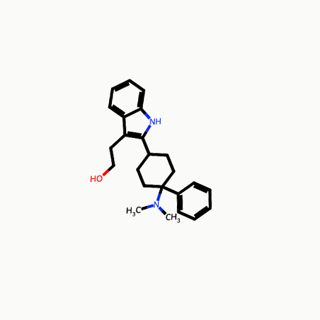 CN(C)C1(c2ccccc2)CCC(c2[nH]c3ccccc3c2CCO)CC1